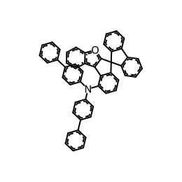 c1ccc(-c2ccc(N(c3ccc(-c4ccccc4)cc3)c3cccc4c3-c3c(oc5ccccc35)C43c4ccccc4-c4ccccc43)cc2)cc1